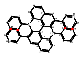 c1ccc(-n2c3c(-c4cccnc4)cc4cccc5c4c3-c3c4c(cccc42)cc(-c2cccnc2)c3n5-c2ccccc2)cc1